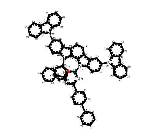 c1ccc(-c2ccc(-c3nc(-c4ccccc4)nc(-n4c5ccc(-n6c7ccccc7c7ccccc76)cc5c5ccc6c7cc(-n8c9ccccc9c9ccccc98)ccc7n(-c7ccccc7)c6c54)n3)cc2)cc1